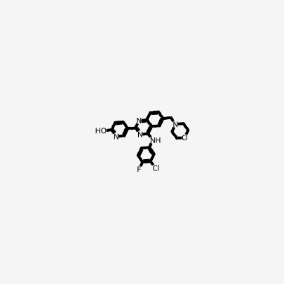 Oc1ccc(-c2nc(Nc3ccc(F)c(Cl)c3)c3cc(CN4CCOCC4)ccc3n2)cn1